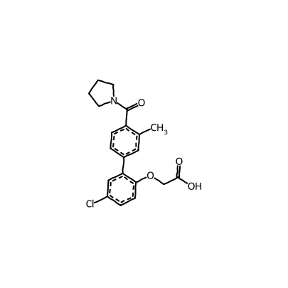 Cc1cc(-c2cc(Cl)ccc2OCC(=O)O)ccc1C(=O)N1CCCC1